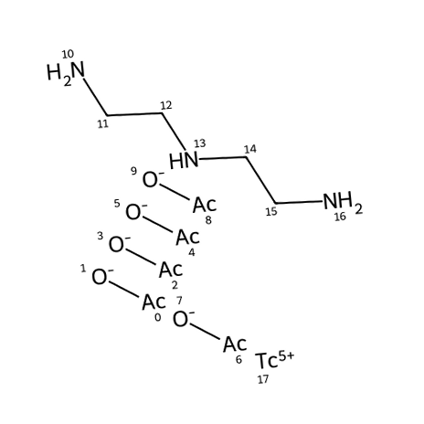 CC(=O)[O-].CC(=O)[O-].CC(=O)[O-].CC(=O)[O-].CC(=O)[O-].NCCNCCN.[Tc+5]